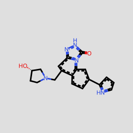 O=c1[nH]nc2cc(CN3CC[C@H](O)C3)c3ccc(-c4ccc[nH]4)cc3n12